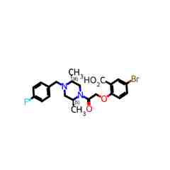 C[C@@H]1CN(C(=O)COc2ccc(Br)cc2C(=O)O)[C@@H](C)CN1Cc1ccc(F)cc1